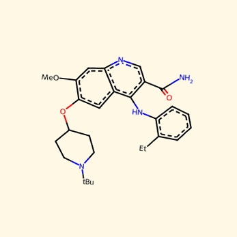 CCc1ccccc1Nc1c(C(N)=O)cnc2cc(OC)c(OC3CCN(C(C)(C)C)CC3)cc12